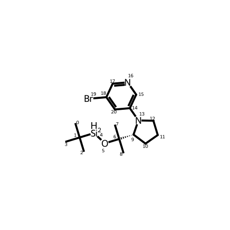 CC(C)(C)[SiH2]OC(C)(C)[C@H]1CCCN1c1cncc(Br)c1